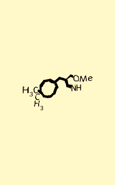 COC[C@@H](C=N)C/C1=C/C=C\C(C)(C)CCC=C1